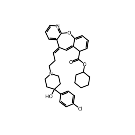 O=C(OC1CCCCC1)C1C=CC=C2Oc3ncccc3C(=CCCN3CCC(O)(c4ccc(Cl)cc4)CC3)C=C21